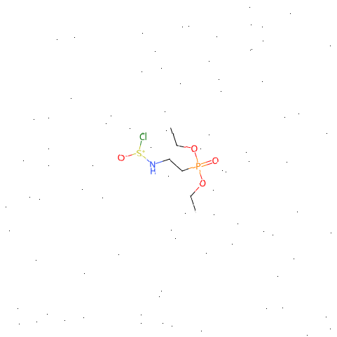 CCOP(=O)(CCN[S+]([O-])Cl)OCC